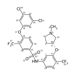 CN1CC[C@@H](Oc2cc(NS(=O)(=O)c3ccc(Oc4cc(Cl)cc(Cl)c4)c(C(F)(F)F)c3)ccc2C(F)(F)F)C1